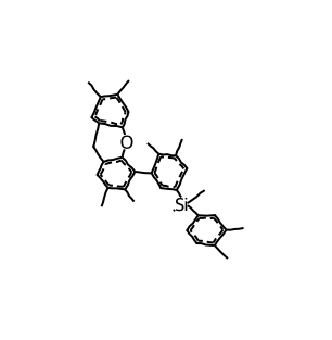 Cc1ccc([Si](C)(C)c2cc(C)c(C)c(-c3c(C)c(C)cc4c3Oc3cc(C)c(C)cc3C4)c2)cc1C